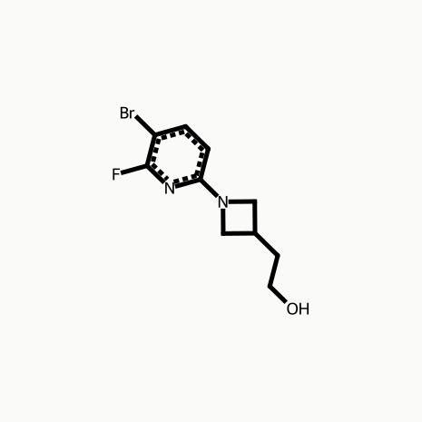 OCCC1CN(c2ccc(Br)c(F)n2)C1